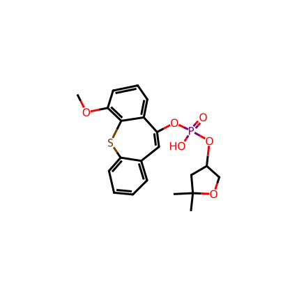 COc1cccc2c1Sc1ccccc1C=C2OP(=O)(O)OC1COC(C)(C)C1